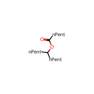 CCCCCC(=O)OC(CCCCC)CCCCC